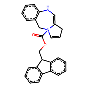 O=C(OCC1c2ccccc2-c2ccccc21)[N+]12C=CCC1=CNc1ccccc1C2